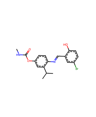 CNC(=O)Oc1ccc(/N=C/c2cc(Br)ccc2O)c(C(C)C)c1